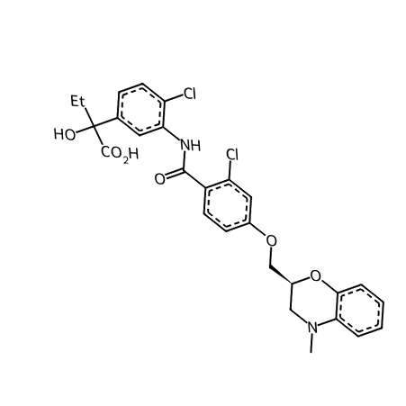 CCC(O)(C(=O)O)c1ccc(Cl)c(NC(=O)c2ccc(OC[C@@H]3CN(C)c4ccccc4O3)cc2Cl)c1